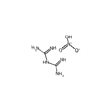 N=C(N)NC(=N)N.O=[N+]([O-])O